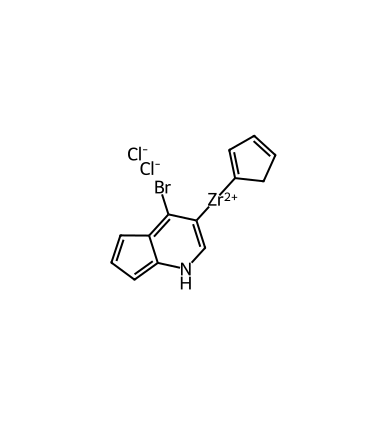 Brc1[c]([Zr+2][C]2=CC=CC2)c[nH]c2cccc1-2.[Cl-].[Cl-]